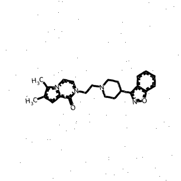 Cc1cc2c(=O)n(CCN3CCC(c4noc5ccccc45)CC3)ccn2c1C